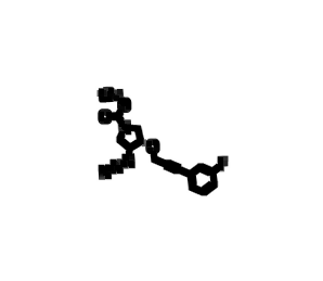 CC(C)(C)OC(=O)N1CC(N=[N+]=[N-])[C@@H](OCC#Cc2cccc(F)c2)C1